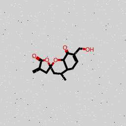 C=C1CC2(CC(C)C3CC=C(CO)C(=O)C3O2)OC1=O